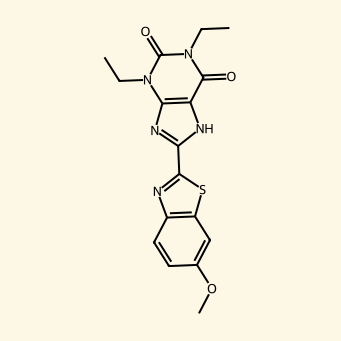 CCn1c(=O)c2[nH]c(-c3nc4ccc(OC)cc4s3)nc2n(CC)c1=O